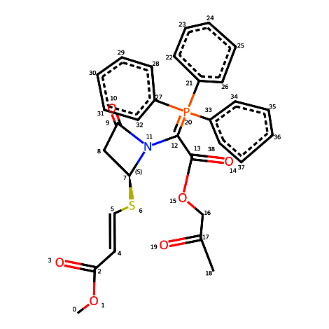 COC(=O)C=CS[C@H]1CC(=O)N1C(C(=O)OCC(C)=O)=P(c1ccccc1)(c1ccccc1)c1ccccc1